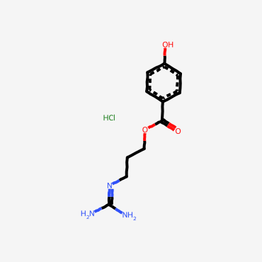 Cl.NC(N)=NCCCOC(=O)c1ccc(O)cc1